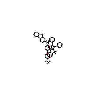 CC1(C)c2ccccc2-c2ccc(N(c3ccc(-c4ccc(S(C)(C)C)cc4)cc3)c3ccccc3-c3oc4c(c3-c3ccccc3)C(C)(C)c3ccccc3-4)cc21